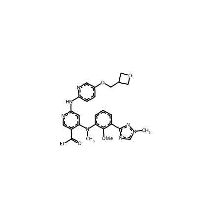 CCC(=O)c1cnc(Nc2ccc(OCC3COC3)cn2)cc1N(C)c1cccc(-c2ncn(C)n2)c1OC